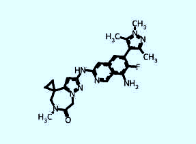 Cc1nn(C)c(C)c1-c1cc2cc(Nc3cc4n(n3)CC(=O)N(C)CC43CC3)ncc2c(N)c1F